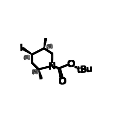 C[C@H]1CN(C(=O)OC(C)(C)C)[C@@H](C)C[C@H]1I